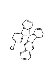 Clc1ccc2c(c1)C1(C3=C(CCC=C3)c3cc4ccccc4cc31)c1ccccc1-2